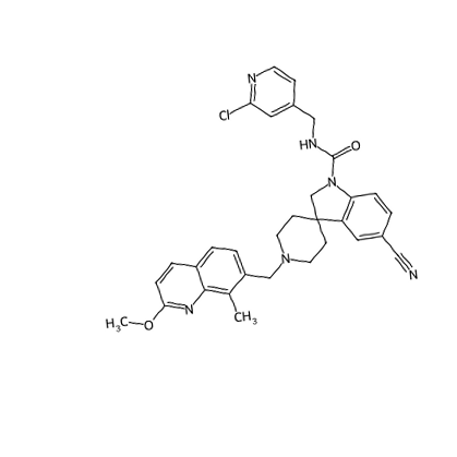 COc1ccc2ccc(CN3CCC4(CC3)CN(C(=O)NCc3ccnc(Cl)c3)c3ccc(C#N)cc34)c(C)c2n1